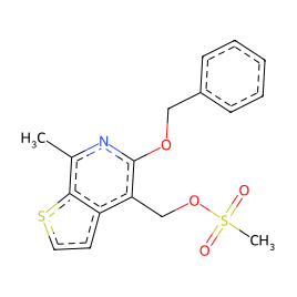 Cc1nc(OCc2ccccc2)c(COS(C)(=O)=O)c2ccsc12